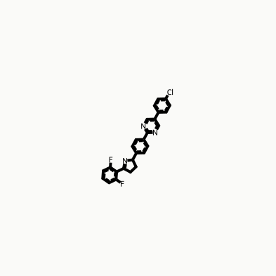 Fc1cccc(F)c1C1=NC(c2ccc(-c3ncc(-c4ccc(Cl)cc4)cn3)cc2)CC1